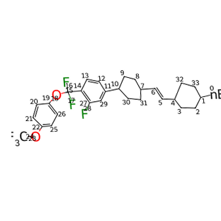 CCCCC1CCC(/C=C/C2CCC(c3ccc(C(F)(F)Oc4ccc(OC(F)(F)F)cc4)c(F)c3)CC2)CC1